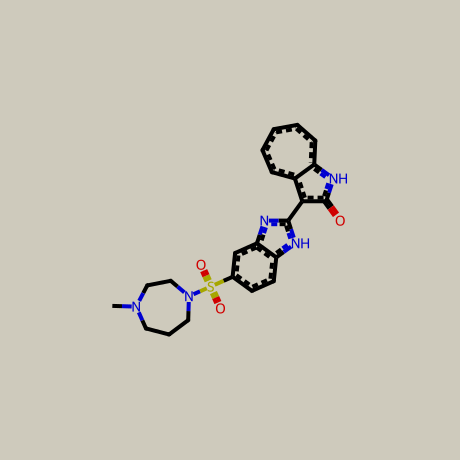 CN1CCCN(S(=O)(=O)c2ccc3[nH]c(-c4c5cccccc-5[nH]c4=O)nc3c2)CC1